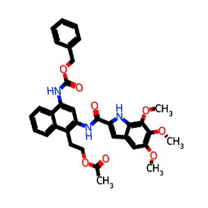 COc1cc2cc(C(=O)Nc3cc(NC(=O)OCc4ccccc4)c4ccccc4c3CCOC(C)=O)[nH]c2c(OC)c1OC